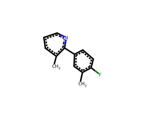 Cc1cc(-c2ncccc2C)ccc1F